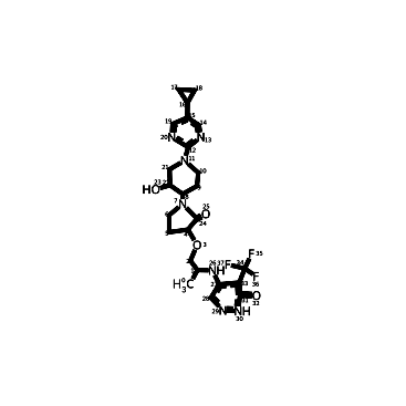 CC(COC1CCN(C2CCN(c3ncc(C4CC4)cn3)CC2O)C1=O)Nc1cn[nH]c(=O)c1C(F)(F)F